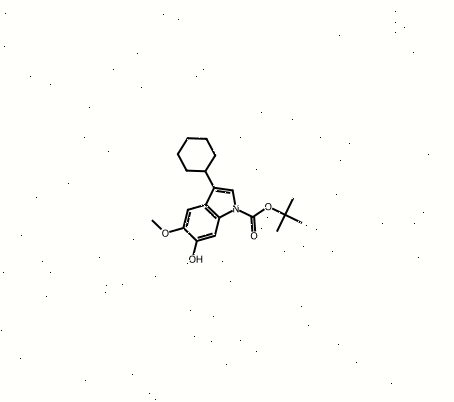 COc1cc2c(C3CCCCC3)cn(C(=O)OC(C)(C)C)c2cc1O